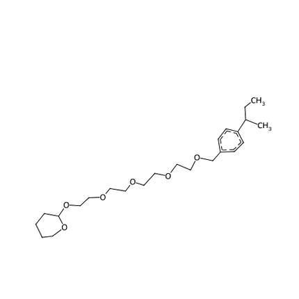 CCC(C)c1ccc(COCCOCCOCCOCCOC2CCCCO2)cc1